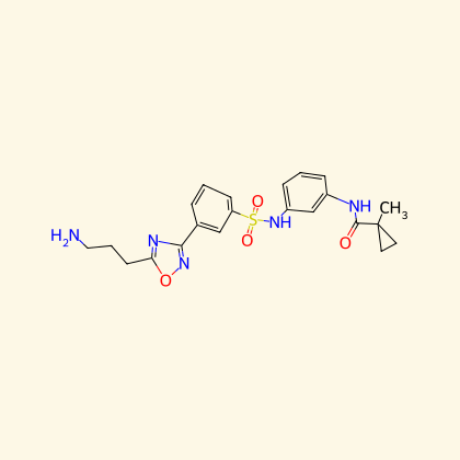 CC1(C(=O)Nc2cccc(NS(=O)(=O)c3cccc(-c4noc(CCCN)n4)c3)c2)CC1